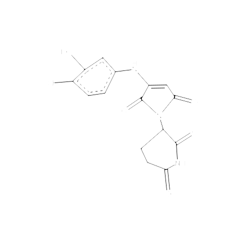 Cc1cc(NC2=CC(=O)N(C3CCC(=O)NC3=O)C2=O)ccc1Cl